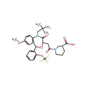 COc1ccc2c(c1)C(c1ccccc1OC(F)(F)F)OC(CC(=O)N1CCCC(C(=O)O)C1)C(=O)N2CC(C)(C)C